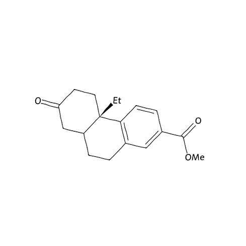 CC[C@]12CCC(=O)CC1CCc1cc(C(=O)OC)ccc12